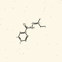 CCC(C)=NNC(=O)c1ccncc1